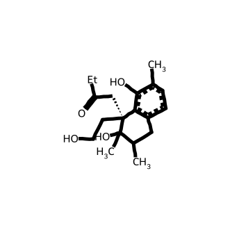 CCC(=O)C[C@]1(CCO)c2c(ccc(C)c2O)CC(C)C1(C)O